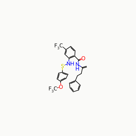 C=C(CCc1ccccc1)NC(=O)c1ccc(C(F)(F)F)cc1NSc1ccc(OC(F)(F)F)cc1